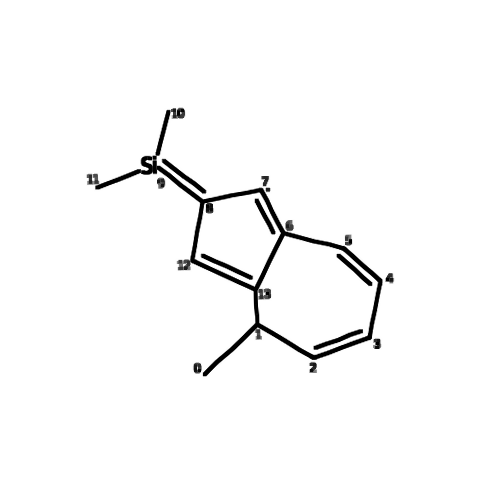 CC1C=CC=CC2=[C]C(=[Si](C)C)C=C21